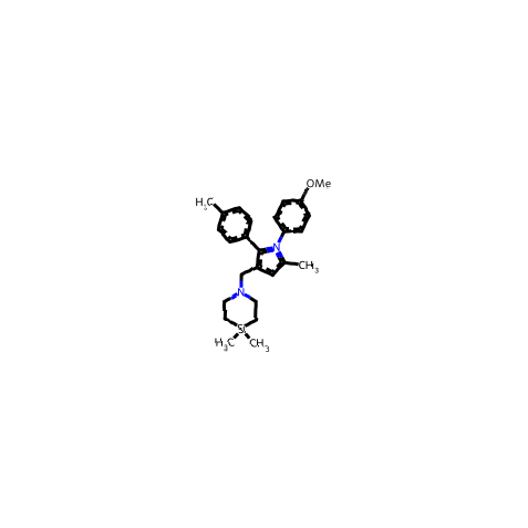 COc1ccc(-n2c(C)cc(CN3CC[Si](C)(C)CC3)c2-c2ccc(C)cc2)cc1